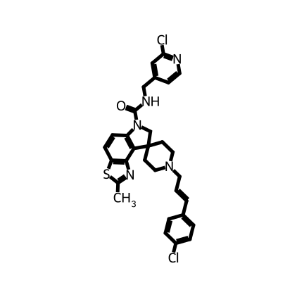 Cc1nc2c3c(ccc2s1)N(C(=O)NCc1ccnc(Cl)c1)CC31CCN(CC=Cc2ccc(Cl)cc2)CC1